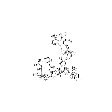 C#CCOc1cc(-n2nc(C(C)(C)C)oc2=O)c(Cl)cc1Cl.CC1(C)OC(c2ccco2)CN1C(=O)C(Cl)Cl.CCc1cccc(C)c1N(C(=O)CCl)C(C)COC.O=C(O)CNCP(=O)(O)O